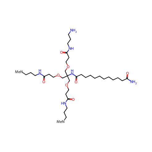 CNCCCNC(=O)CCOCC(COCCC(=O)NCCCN)(COCCC(=O)NCCCNC)NC(=O)CCCCCCCCCCC(N)=O